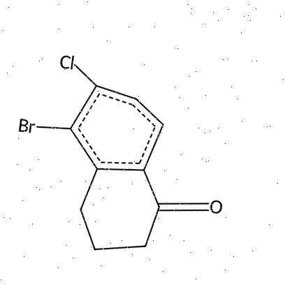 O=C1CCCc2c1ccc(Cl)c2Br